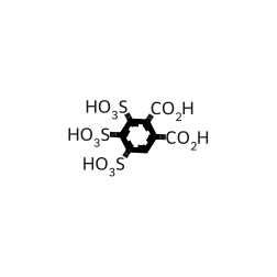 O=C(O)c1cc(S(=O)(=O)O)c(S(=O)(=O)O)c(S(=O)(=O)O)c1C(=O)O